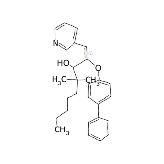 CCCCCC(C)(C)C(O)/C(=C\c1cccnc1)Oc1ccc(-c2ccccc2)cc1